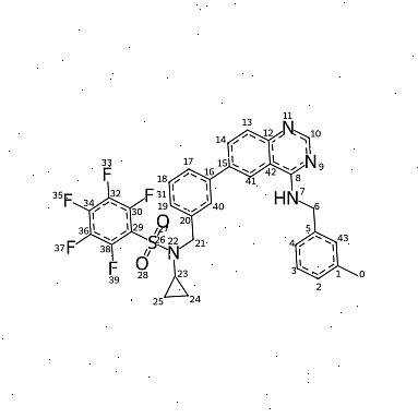 Cc1cccc(CNc2ncnc3ccc(-c4cccc(CN(C5CC5)S(=O)(=O)c5c(F)c(F)c(F)c(F)c5F)c4)cc23)c1